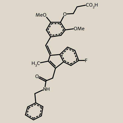 COc1cc(/C=C2/C(C)=C(CC(=O)NCc3ccccc3)c3cc(F)ccc32)cc(OC)c1OCCC(=O)O